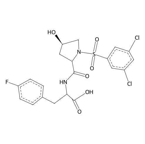 O=C(O)C(Cc1ccc(F)cc1)NC(=O)C1C[C@@H](O)CN1S(=O)(=O)c1cc(Cl)cc(Cl)c1